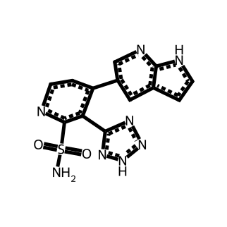 NS(=O)(=O)c1nccc(-c2cnc3[nH]ccc3c2)c1-c1nn[nH]n1